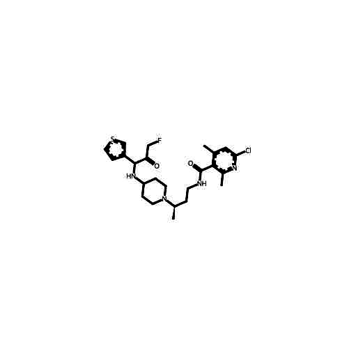 Cc1cc(Cl)nc(C)c1C(=O)NCC[C@@H](C)N1CCC(NC(C(=O)CF)c2ccsc2)CC1